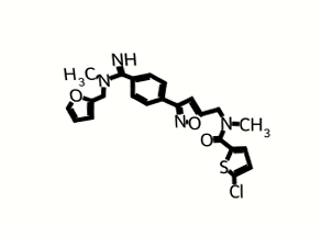 CN(Cc1ccco1)C(=N)c1ccc(-c2cc(CN(C)C(=O)c3ccc(Cl)s3)on2)cc1